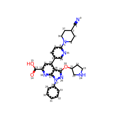 N#CC1CCN(c2ccc(-c3cc(C(=O)O)nc4c3c(OC3CCNC3)nn4-c3ccccc3)cn2)CC1